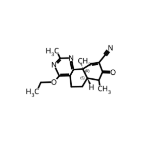 CCOc1nc(C)nc2c1CC[C@H]1C(C)C(=O)C(C#N)=C[C@]21C